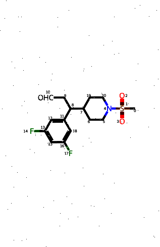 CS(=O)(=O)N1CCC(C(CC=O)c2cc(F)cc(F)c2)CC1